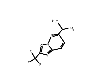 CC(C)c1ccc2nc(C(F)(F)F)nn2n1